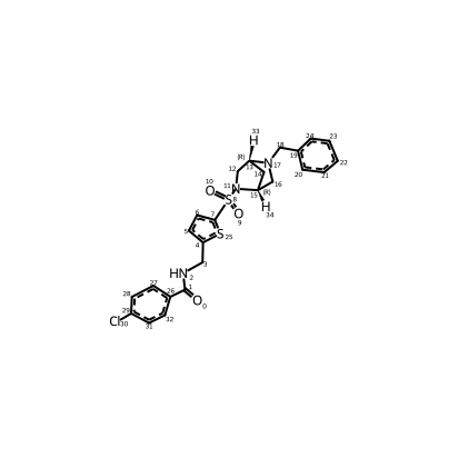 O=C(NCc1ccc(S(=O)(=O)N2C[C@H]3C[C@@H]2CN3Cc2ccccc2)s1)c1ccc(Cl)cc1